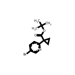 CC(C)(C)OC(=O)C1(c2ccc(Br)cn2)CC1